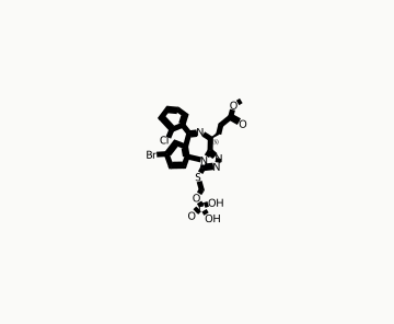 COC(=O)CC[C@@H]1N=C(c2ccccc2Cl)c2cc(Br)ccc2-n2c(SCOP(=O)(O)O)nnc21